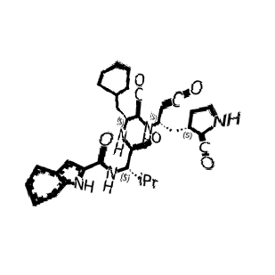 CC(C)[C@H](NC(=O)c1cc2ccccc2[nH]1)C(=C=O)N[C@@H](CC1CCCCC1)C(=C=O)N[C@H](C=C=O)C[C@@H]1CCNC1=C=O